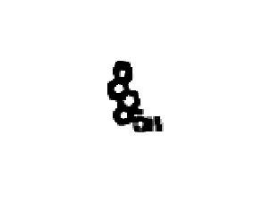 CC12CCC3c4ccccc4CCC3C1CCC2O